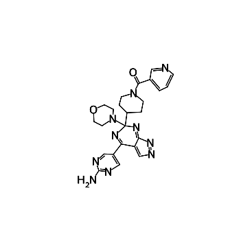 Nc1ncc(C2=NC(C3CCN(C(=O)c4cccnc4)CC3)(N3CCOCC3)N=C3N=NC=C32)cn1